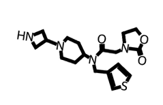 O=C1OCCN1CC(=O)N(Cc1ccsc1)C1CCN(C2CNC2)CC1